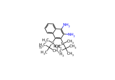 CC(C)(C)[Si](C)(C)c1c(N)c(N)c2ccccc2c1[Si](C)(C)C(C)(C)C.[Ti]